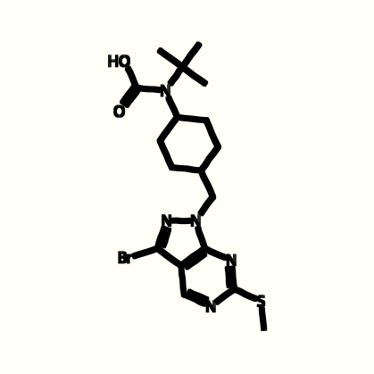 CSc1ncc2c(Br)nn(CC3CCC(N(C(=O)O)C(C)(C)C)CC3)c2n1